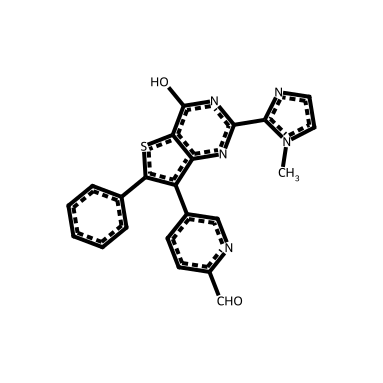 Cn1ccnc1-c1nc(O)c2sc(-c3ccccc3)c(-c3ccc(C=O)nc3)c2n1